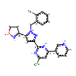 Fc1ccccc1Cn1nc(-c2nc(Cl)cc(-c3cccnc3)n2)cc1C1=NOCC1